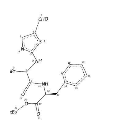 CC(C)C(Nc1ncc(C=O)s1)C(=O)N[C@@H](Cc1ccccc1)C(=O)OC(C)(C)C